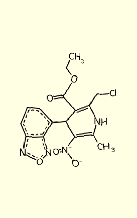 CCOC(=O)C1=C(CCl)NC(C)=C([N+](=O)[O-])C1c1cccc2nonc12